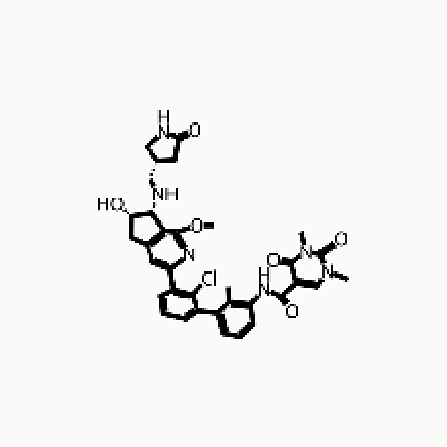 COc1nc(-c2cccc(-c3cccc(NC(=O)c4cn(C)c(=O)n(C)c4=O)c3C)c2Cl)cc2c1[C@@H](NC[C@@H]1CNC(=O)C1)[C@@H](O)C2